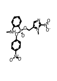 CNc1ccccc1P(=O)(OCc1cnc([N+](=O)[O-])n1C)Oc1ccc([N+](=O)[O-])cc1